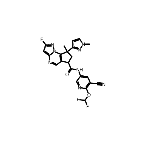 Cn1ccc(C2(C)CC(C(=O)Nc3cnc(OC(F)F)c(C#N)c3)c3cnc4cc(F)nn4c32)n1